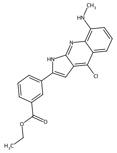 CCOC(=O)c1cccc(-c2cc3c(Cl)c4cccc(NC)c4nc3[nH]2)c1